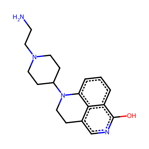 NCCN1CCC(N2CCc3cnc(O)c4cccc2c34)CC1